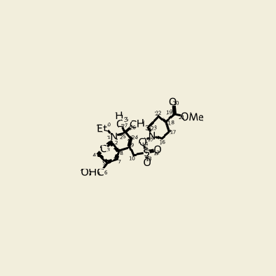 CCN1c2ccc(C=O)cc2C(CS(=O)(=O)ON2CCC(C(=O)OC)CC2)=CC1(C)C